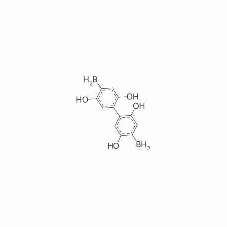 Bc1cc(O)c(-c2cc(O)c(B)cc2O)cc1O